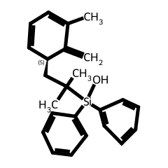 C=C1C(C)=CC=C[C@@H]1CC(C)(C)[Si](O)(c1ccccc1)c1ccccc1